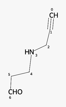 C#CCNCCC=O